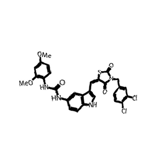 COc1ccc(NC(=O)Nc2ccc3[nH]cc(C=C4SC(=O)N(Cc5ccc(Cl)c(Cl)c5)C4=O)c3c2)c(OC)c1